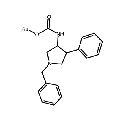 CC(C)(C)OC(=O)NC1CN(Cc2ccccc2)CC1c1ccccc1